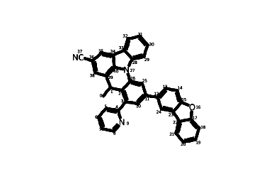 CC1c2c(-c3ccccn3)cc(-c3ccc4oc5ccccc5c4c3)cc2-n2c3ccccc3c3cc(C#N)cc1c32